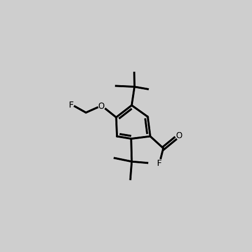 CC(C)(C)c1cc(C(=O)F)c(C(C)(C)C)cc1OCF